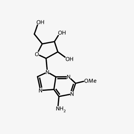 COc1nc(N)c2ncn(C3OC(CO)C(O)C3O)c2n1